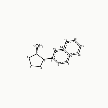 O[C@@H]1CCC[C@@H]1c1ccc2ccccc2c1